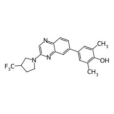 Cc1cc(-c2ccc3ncc(N4CCC(C(F)(F)F)C4)nc3c2)cc(C)c1O